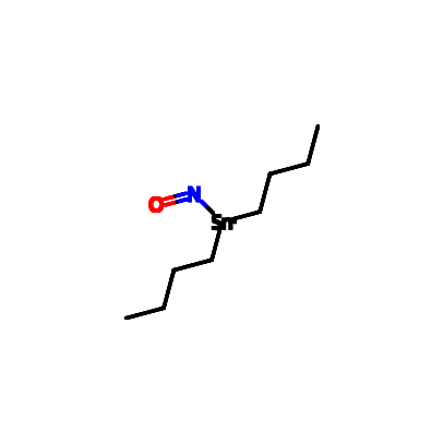 CCC[CH2][Sn]([CH2]CCC)[N]=O